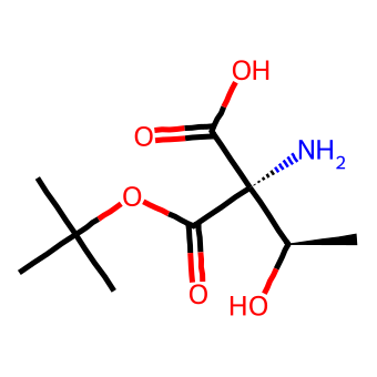 C[C@@H](O)[C@](N)(C(=O)O)C(=O)OC(C)(C)C